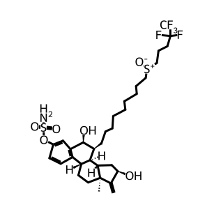 C=C1[C@H](O)C[C@H]2[C@@H]3[C@H](CCCCCCCCC[S+]([O-])CCCC(F)(F)C(F)(F)F)[C@H](O)c4cc(OS(N)(=O)=O)ccc4[C@H]3CC[C@]12C